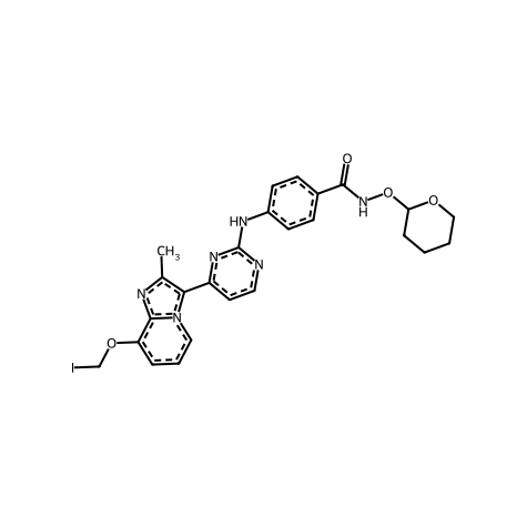 Cc1nc2c(OCI)cccn2c1-c1ccnc(Nc2ccc(C(=O)NOC3CCCCO3)cc2)n1